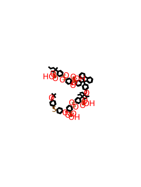 CCCC(C)(CC)c1ccc(S(=O)(=O)c2ccc(Oc3ccc(C4(c5ccc(OC(CC)(CC)C(CC)(CC)c6ccc(S(=O)(=O)c7ccc(Oc8ccc(Sc9ccc(OC(C)(C)C)cc9)cc8)c(S(=O)(=O)O)c7)cc6S(=O)(=O)O)cc5)c5ccccc5-c5ccccc54)cc3)c(S(=O)(=O)O)c2)cc1S(=O)(=O)O